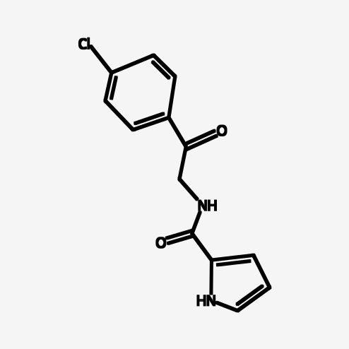 O=C(CNC(=O)c1ccc[nH]1)c1ccc(Cl)cc1